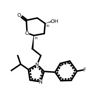 CC(C)c1cnc(-c2ccc(F)cc2)n1CC[C@@H]1C[C@@H](O)CC(=O)O1